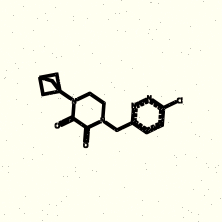 O=C1C(=O)N(C23CC(C2)C3)CCN1Cc1ccc(Cl)nn1